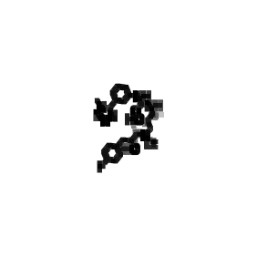 CCN(C[C@H](O)[C@@H](C)NC(=O)Nc1cccc(-c2nnnn2C)c1)[C@@H](C)[C@H](O)Cc1ccc(F)cc1